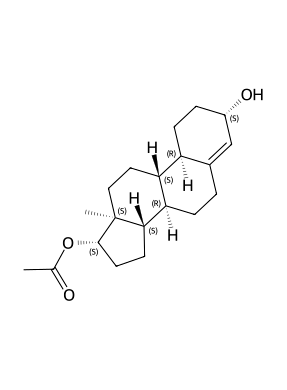 CC(=O)O[C@H]1CC[C@H]2[C@@H]3CCC4=C[C@@H](O)CC[C@@H]4[C@H]3CC[C@]12C